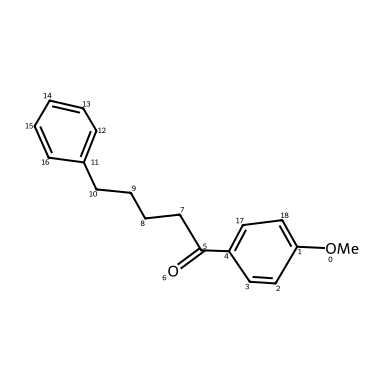 COc1ccc(C(=O)CCCCc2ccccc2)cc1